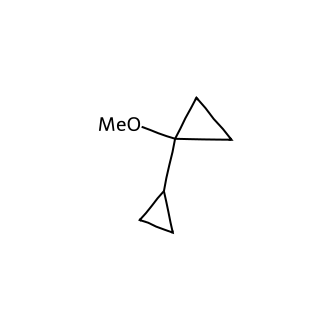 COC1(C2CC2)CC1